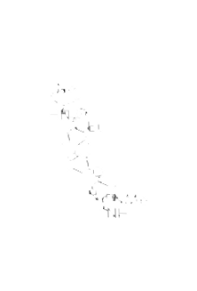 CCc1cc(-c2cccc(Oc3cnc(C(C)=N)c(NC)c3)c2)ccc1C(=O)NC1CCN(C)CC1